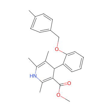 COC(=O)C1=C(C)NC(C)=C(C)C1c1ccccc1OCc1ccc(C)cc1